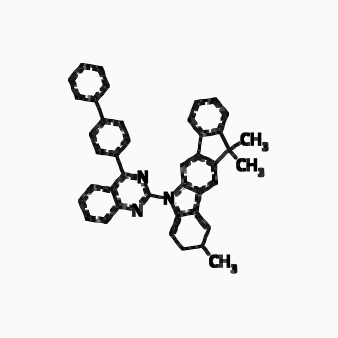 CC1C=c2c(n(-c3nc(-c4ccc(-c5ccccc5)cc4)c4ccccc4n3)c3cc4c(cc23)C(C)(C)c2ccccc2-4)=CC1